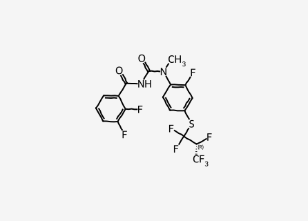 CN(C(=O)NC(=O)c1cccc(F)c1F)c1ccc(SC(F)(F)[C@H](F)C(F)(F)F)cc1F